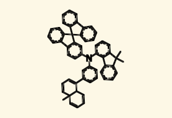 CC1(C)c2ccccc2-c2c(N(c3cccc(C4=CC=CC5(C)C=CC=CC45)c3)c3ccc4c(c3)C3(c5ccccc5-c5ccccc53)c3ccccc3-4)cccc21